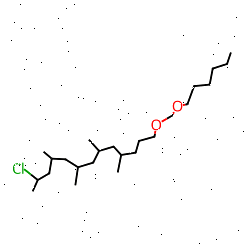 CCCCCCOCOCCCC(C)CC(C)CC(C)CC(C)CC(C)Cl